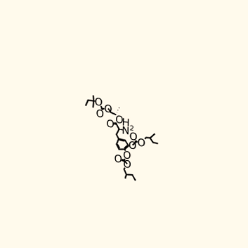 CCC(C)COC(=O)Oc1ccc(C[C@H](N)C(=O)O[C@@H](C)COC(=O)OC(C)(C)CC)cc1OC(=O)OCC(C)CC